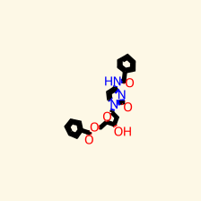 O=C(Nc1ccn(C2CC(O)C(COC(=O)c3ccccc3)O2)c(=O)n1)c1ccccc1